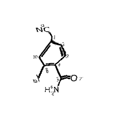 N#Cc1ccc(C(N)=O)c(I)c1